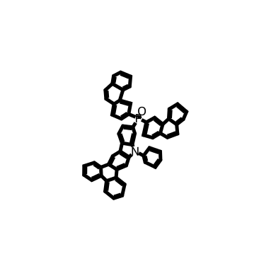 O=P(c1ccc2ccc3ccccc3c2c1)(c1ccc2ccc3ccccc3c2c1)c1ccc2c3cc4c5ccccc5c5ccccc5c4cc3n(-c3ccccc3)c2c1